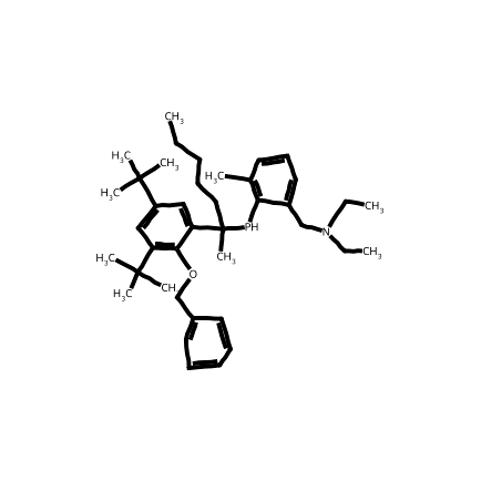 CCCCCC(C)(Pc1c(C)cccc1CN(CC)CC)c1cc(C(C)(C)C)cc(C(C)(C)C)c1OCc1ccccc1